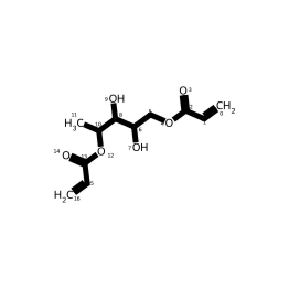 C=CC(=O)OCC(O)C(O)C(C)OC(=O)C=C